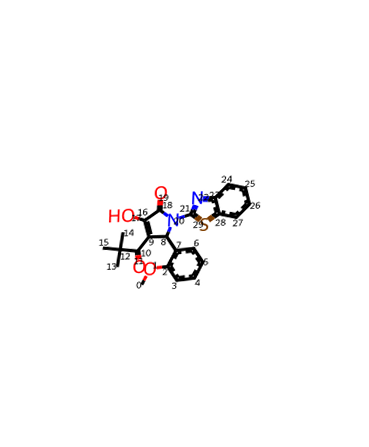 COc1ccccc1C1C(C(=O)C(C)(C)C)=C(O)C(=O)N1c1nc2ccccc2s1